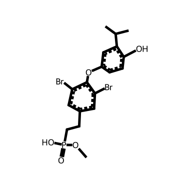 COP(=O)(O)CCc1cc(Br)c(Oc2ccc(O)c(C(C)C)c2)c(Br)c1